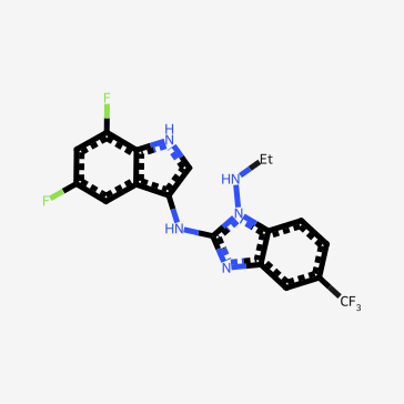 CCNn1c(Nc2c[nH]c3c(F)cc(F)cc23)nc2cc(C(F)(F)F)ccc21